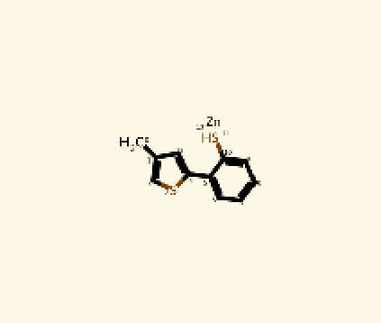 Cc1csc(-c2ccccc2S)c1.[Zn]